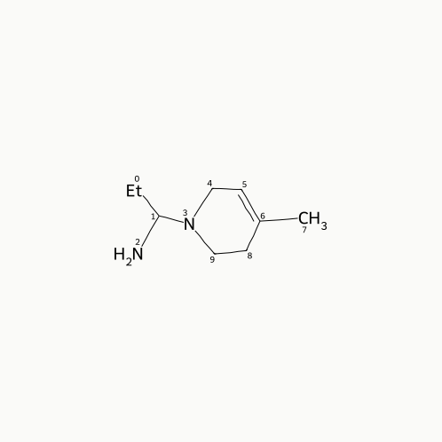 CCC(N)N1CC=C(C)CC1